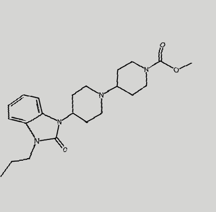 CCCn1c(=O)n(C2CCN(C3CCN(C(=O)OC)CC3)CC2)c2ccccc21